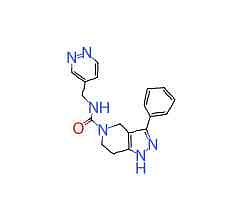 O=C(NCc1ccnnc1)N1CCc2[nH]nc(-c3ccccc3)c2C1